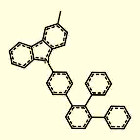 Cc1ccc2c(c1)c1ccccc1n2-c1ccc(-c2cccc(-c3ccccc3)c2-c2ccccc2)cc1